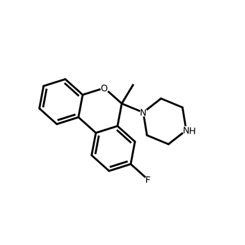 CC1(N2CCNCC2)Oc2ccccc2-c2ccc(F)cc21